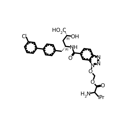 CC(C)C(N)C(=O)OCOn1nnc2ccc(C(=O)N[C@H](Cc3ccc(-c4cccc(Cl)c4)cc3)C[C@@H](O)C(=O)O)cc21